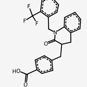 O=C(O)c1ccc(CC2Cc3ccccc3N(Cc3ccccc3C(F)(F)F)C2=O)cc1